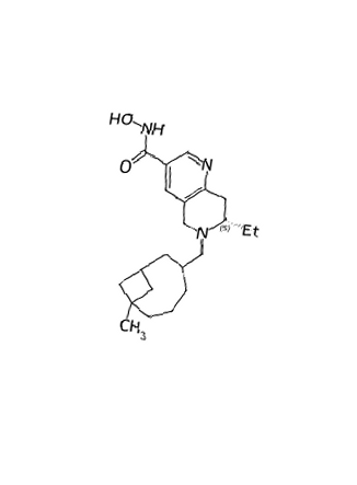 CC[C@H]1Cc2ncc(C(=O)NO)cc2CN1CC1CCCC2(C)CC(C1)C2